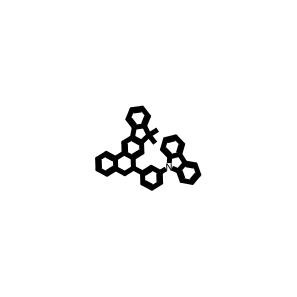 CC1(C)c2ccccc2-c2cc3c(cc21)C(c1cccc(-n2c4ccccc4c4ccccc42)c1)Cc1ccccc1-3